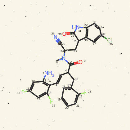 CN(C(=O)C(/C=C/c1c(N)cc(F)cc1F)Cc1ccccc1F)C(C#N)CC1C(=O)Nc2ccc(Cl)cc21